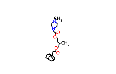 [CH2]C(CCOC(=O)CN1CCN(C)CC1)COC(=O)CC12CC3CC(CC(C3)C1)C2